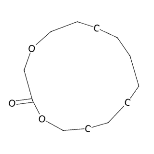 O=C1COCCCCCCCCCCO1